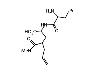 C=CCC(CC(NC(=O)C(N)CC(C)C)C(=O)O)C(=O)NC